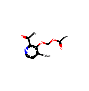 COc1ccnc(C(=O)C(C)C)c1OCOC(=O)C(C)C